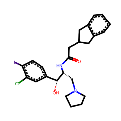 O=C(CC1Cc2ccccc2C1)N[C@H](CN1CCCC1)[C@H](O)c1ccc(I)c(Cl)c1